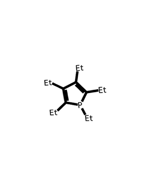 CCc1c(CC)c(CC)p(CC)c1CC